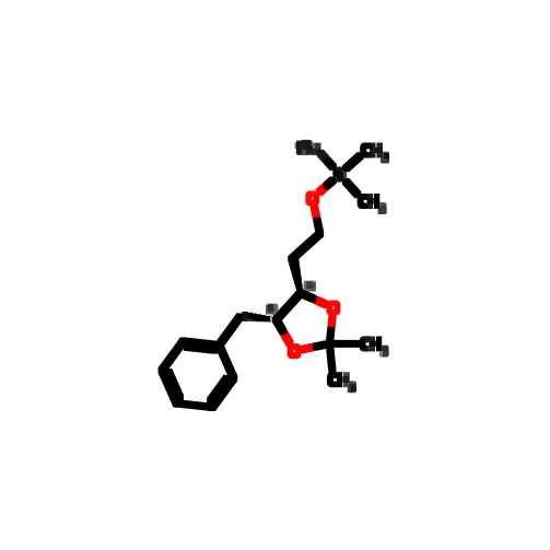 CC1(C)O[C@H](CCO[Si](C)(C)C(C)(C)C)[C@@H](Cc2ccccc2)O1